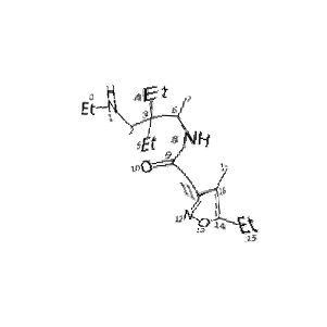 CCNCC(CC)(CC)C(C)NC(=O)c1noc(CC)c1C